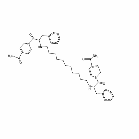 NC(=O)C1=CCN(C(=O)C(Cc2ccccc2)NCCCCCCCCCCCNC(Cc2ccccc2)C(=O)N2C=CC(C(N)=O)=CC2)C=C1